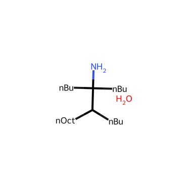 CCCCCCCCC(CCCC)C(N)(CCCC)CCCC.O